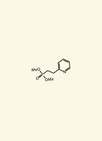 COP(=O)(CCc1ccccn1)OC